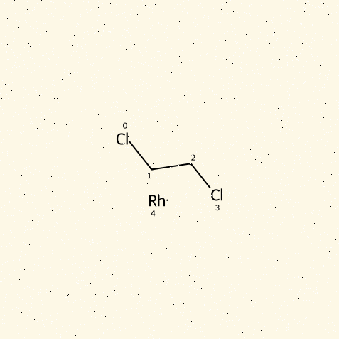 ClCCCl.[Rh]